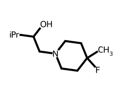 CC(C)C(O)CN1CCC(C)(F)CC1